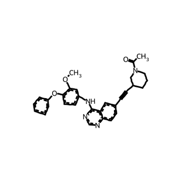 COc1cc(Nc2ncnc3ccc(C#CC4CCCN(C(C)=O)C4)cc23)ccc1Oc1ccccc1